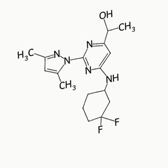 Cc1cc(C)n(-c2nc(NC3CCCC(F)(F)C3)cc(C(C)O)n2)n1